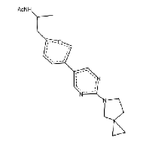 CC(=O)NC(C)Cc1ccc(-c2cnc(N3CCC4(CC4)C3)nc2)cc1